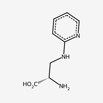 N[C@@H](CNc1ccccn1)C(=O)O